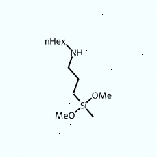 CCCCCCNCCC[Si](C)(OC)OC